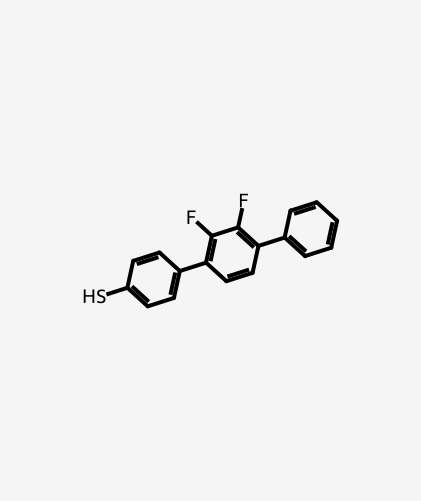 Fc1c(-c2ccccc2)ccc(-c2ccc(S)cc2)c1F